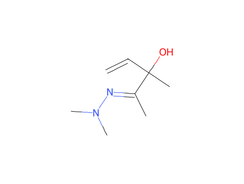 C=CC(C)(O)C(C)=NN(C)C